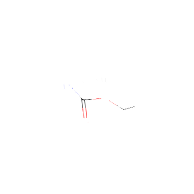 C.C.CCOC(N)=O